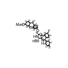 CCCC[C@H](NC(=O)COc1ccc(C(C)c2ccc(OC)cc2OC)cc1)C(=O)NC(c1ccc(C)cc1)c1ccc(C)cc1